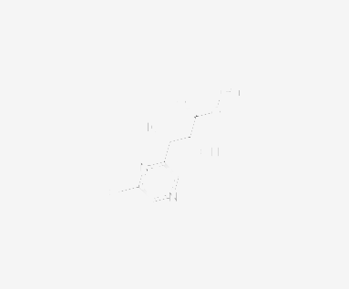 CC(C)(C)OC(=O)C(O)[C@@H](O)c1cncc(Cl)n1